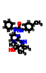 Cc1ccc(NC(=O)N(c2ccccc2)c2ccnc(NC(C)C(C)(C)O)n2)cc1